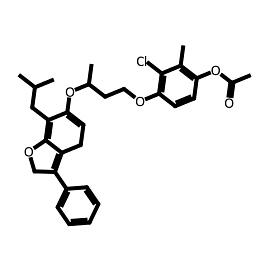 CC(=O)Oc1ccc(OCCC(C)OC2=CCC3=C(c4ccccc4)COC3=C2CC(C)C)c(Cl)c1C